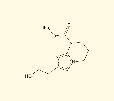 CC(C)(C)OC(=O)N1CCCn2cc(CCO)nc21